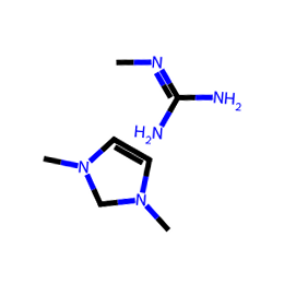 CN1C=CN(C)C1.CN=C(N)N